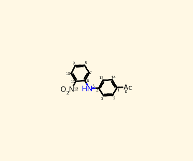 CC(=O)c1ccc(Nc2ccccc2[N+](=O)[O-])cc1